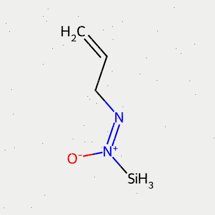 C=CC/N=[N+](\[O-])[SiH3]